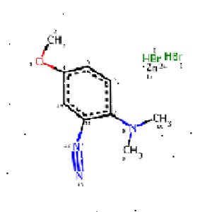 Br.Br.COc1ccc(N(C)C)c([N+]#N)c1.[Zn+2]